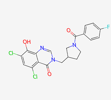 O=C(c1ccc(F)cc1)N1CCC(Cn2cnc3c(O)c(Cl)cc(Cl)c3c2=O)C1